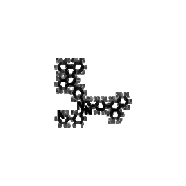 c1cncc(-c2cccc(-c3nc(-c4ccc(-c5cc6ccccc6c6ccccc56)cc4)cc(-c4ccc(-c5cc6c7ccccc7c7ccccc7c6c6ccccc56)cc4)n3)c2)c1